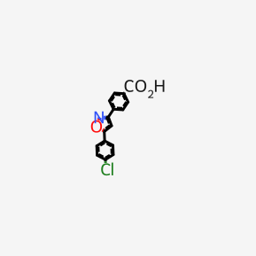 O=C(O)c1ccc(-c2cc(-c3ccc(Cl)cc3)on2)cc1